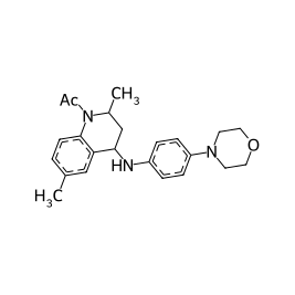 CC(=O)N1c2ccc(C)cc2C(Nc2ccc(N3CCOCC3)cc2)CC1C